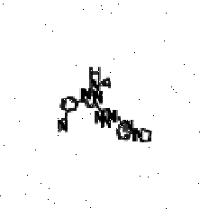 N#Cc1cccc(-c2cc(-c3cn(Cc4cccc(N5CCCC5)n4)nn3)nc(NC3CC3)n2)c1